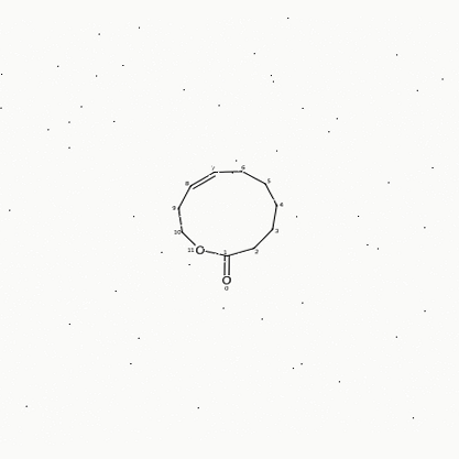 O=C1CCCCC/C=C\CCO1